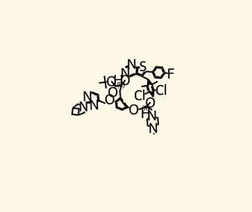 Cc1c(Cl)c2c(Cl)c(C)c1-c1c(-c3ccc(F)cc3)sc3ncnc(c13)O[C@@H](C(=O)OC(C)(C)C)Cc1cc(ccc1OCc1ccnc(N3CC4CC(C4)C3)n1)OC[C@@H](CN1CCN(C)CC1)O2